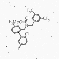 COC(=O)N(Cc1cc(C(F)(F)F)cc(C(F)(F)F)c1)Cc1cc(C(F)(F)F)ccc1-c1cc(I)ccc1Cl